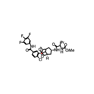 COC(=O)NC(C(=O)N[C@@H]1CC2C(S(=O)(=O)c3cc(C(=O)Nc4cc(F)c(F)c(F)c4)ccc3Cl)[C@H](CC[C@H]2C)C1)C(C)C